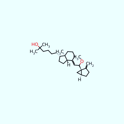 C=C1CC[C@H]2C[C@]12C(/C=C1\CCC[C@]2(C)[C@@H](CCCCC(C)(C)O)CC[C@@H]12)OC